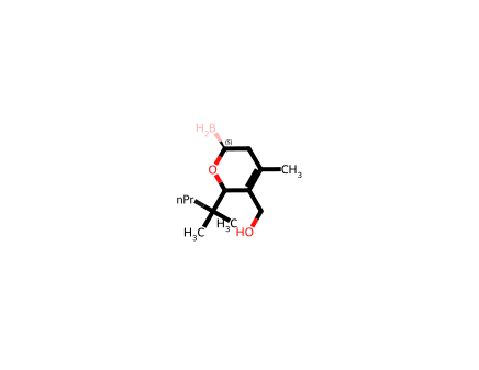 B[C@H]1CC(C)=C(CO)C(C(C)(C)CCC)O1